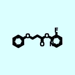 O=C(CCOc1ccccc1)Oc1ncccc1F